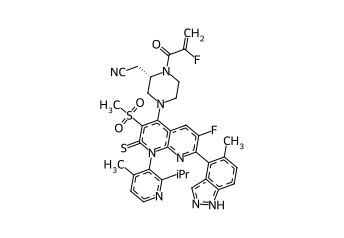 C=C(F)C(=O)N1CCN(c2c(S(C)(=O)=O)c(=S)n(-c3c(C)ccnc3C(C)C)c3nc(-c4c(C)ccc5[nH]ncc45)c(F)cc23)C[C@@H]1CC#N